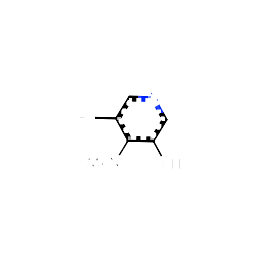 CCc1cncc(C)c1NC